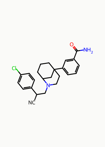 N#CC(CN1CCC2(c3cccc(C(N)=O)c3)CCCC1C2)c1ccc(Cl)cc1